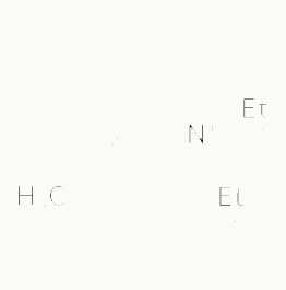 CC[N+]1(CC)CC1C